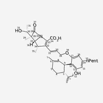 C=C(C)[C@@H]1CCC(C)=C[C@H]1c1c(O)cc(CCCCC)cc1OC/C=C/C1=C(C(=O)O)N2C(=O)[C@](C)([C@@H](C)O)[C@H]2[C@H]1C